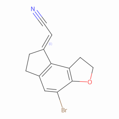 N#C/C=C1\CCc2cc(Br)c3c(c21)CCO3